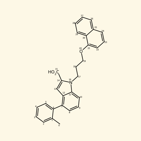 Cc1ccccc1-c1cccc2c1cc(C(=O)O)n2CCCOc1cccc2ccccc12